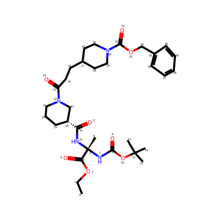 CCOC(=O)[C@@](C)(NC(=O)OC(C)(C)C)NC(=O)[C@@H]1CCCN(C(=O)CCC2CCN(C(=O)OCc3ccccc3)CC2)C1